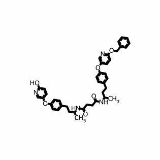 CC(CCc1ccc(Oc2ccc(O)nc2)cc1)NC(=O)CCC(=O)NC(C)CCc1ccc(Oc2ccc(OCc3ccccc3)nc2)cc1